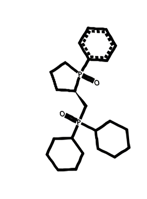 O=P(C[C@H]1CCCP1(=O)c1ccccc1)(C1CCCCC1)C1CCCCC1